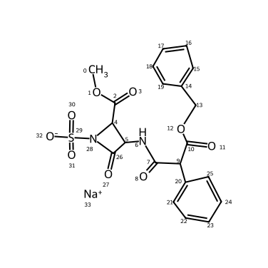 COC(=O)C1C(NC(=O)C(C(=O)OCc2ccccc2)c2ccccc2)C(=O)N1S(=O)(=O)[O-].[Na+]